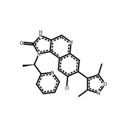 Cc1noc(C)c1-c1cc2ncc3[nH]c(=O)n([C@H](C)c4ccccn4)c3c2cc1Cl